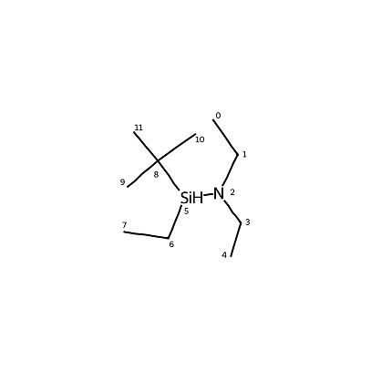 CCN(CC)[SiH](CC)C(C)(C)C